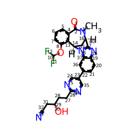 CN1C(=O)c2cccc(OC(F)F)c2[C@H]2C[C@@H]1c1nc3ccc(-c4cnc(CCC(O)CC#N)nc4)cc3n12